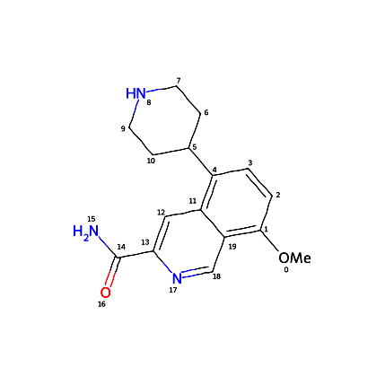 COc1ccc(C2CCNCC2)c2cc(C(N)=O)ncc12